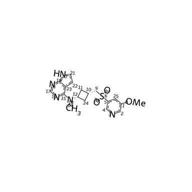 COc1cncc(S(=O)(=O)C[C@H]2C[C@@H](N(C)c3ncnc4[nH]ccc34)C2)c1